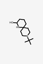 CC(C)(C)N1CCC2(CCCC(O)N2)CC1